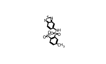 Cc1ccc([N+](=O)[O-])c(S(=O)(=O)Nc2ccc3nsnc3c2)c1